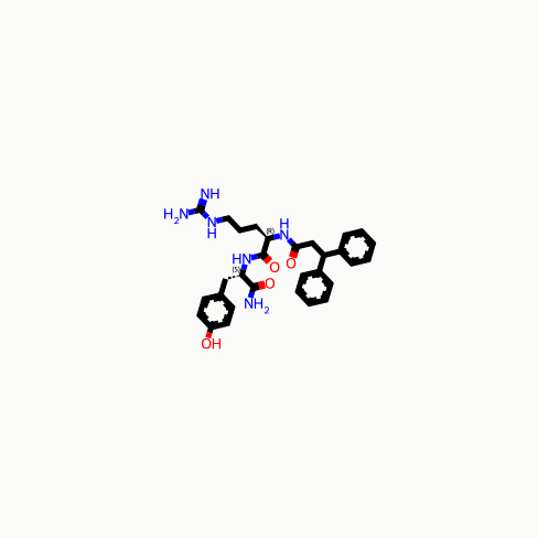 N=C(N)NCCC[C@@H](NC(=O)CC(c1ccccc1)c1ccccc1)C(=O)N[C@@H](Cc1ccc(O)cc1)C(N)=O